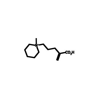 C=C(CCC[N+]1(C)CCCCC1)C(=O)O